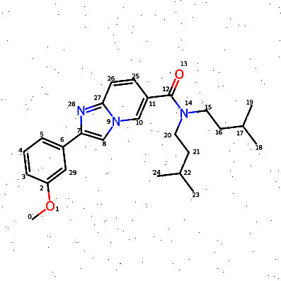 COc1cccc(-c2cn3cc(C(=O)N(CCC(C)C)CCC(C)C)ccc3n2)c1